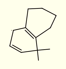 CC1(C)C=C[CH]C2=C1CCCC2